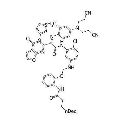 CCCCCCCCCCCCC(=O)Nc1ccccc1OCNc1ccc(Cl)c(NC(=O)/C(=N\c2ccc(N(CCC#N)CCC#N)cc2C)c2nc3occc3c(=O)n2-c2ccsc2)c1